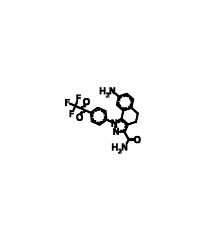 NC(=O)c1nn(-c2ccc(S(=O)(=O)C(F)(F)F)cc2)c2c1CCc1ccc(N)cc1-2